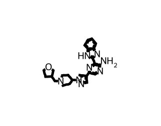 Nc1ncc(-c2cnn(C3CCN(CC4CCOC4)CC3)c2)nc1-c1nc2ccccc2[nH]1